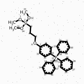 CO[Si](CCCOc1ccc([PH](c2ccccc2)(c2ccccc2)c2ccccc2)cc1)(OC)OC